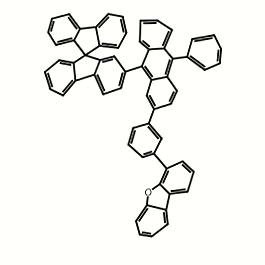 c1ccc(-c2c3ccccc3c(-c3ccc4c(c3)C3(c5ccccc5-c5ccccc53)c3ccccc3-4)c3cc(-c4cccc(-c5cccc6c5oc5ccccc56)c4)ccc23)cc1